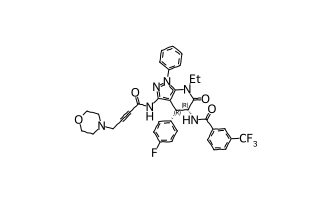 CCN1C(=O)[C@H](NC(=O)c2cccc(C(F)(F)F)c2)[C@H](c2ccc(F)cc2)c2c(NC(=O)C#CCN3CCOCC3)nn(-c3ccccc3)c21